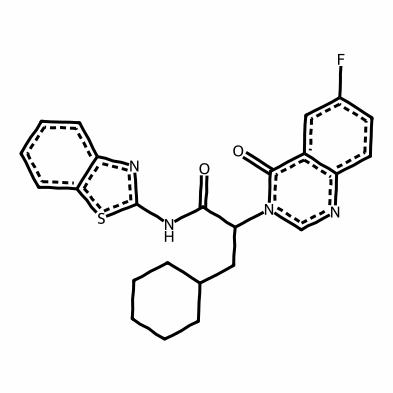 O=C(Nc1nc2ccccc2s1)C(CC1CCCCC1)n1cnc2ccc(F)cc2c1=O